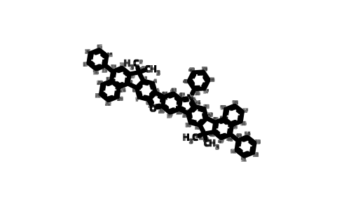 CC1(C)c2cc3c(cc2-c2c1cc(-c1ccccc1)c1ccccc21)oc1cc2c4cc5c(cc4n(-c4ccccc4)c2cc13)-c1c(cc(-c2ccccc2)c2ccccc12)C5(C)C